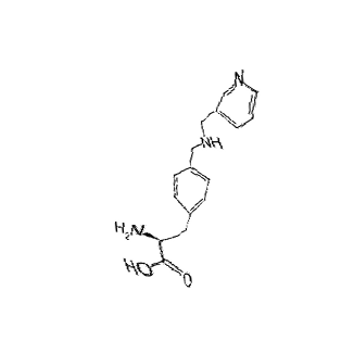 N[C@@H](Cc1ccc(CNCc2cccnc2)cc1)C(=O)O